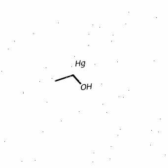 CCO.[Hg]